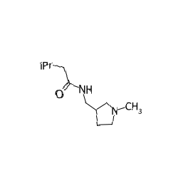 CC(C)CC(=O)NCC1CCN(C)C1